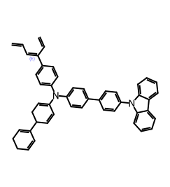 C=C/C=C(\C=C)c1ccc(N(C2=CCC(C3=CCCC=C3)C=C2)c2ccc(-c3ccc(-n4c5ccccc5c5ccccc54)cc3)cc2)cc1